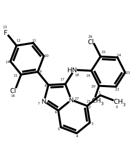 CCc1cccc2nc(-c3ccc(F)cc3Cl)c(Nc3c(C)cccc3Cl)n12